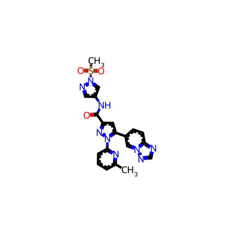 Cc1cccc(-n2nc(C(=O)Nc3cnn(S(C)(=O)=O)c3)cc2-c2ccc3ncnn3c2)n1